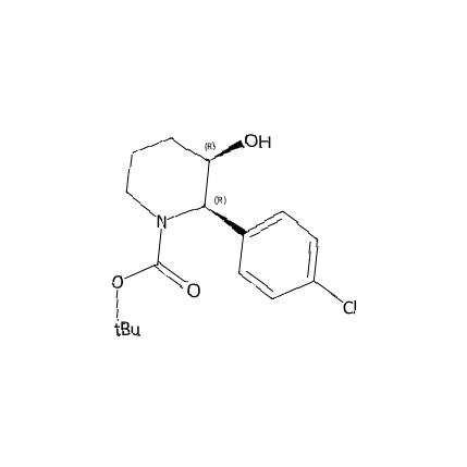 CC(C)(C)OC(=O)N1CCC[C@@H](O)[C@H]1c1ccc(Cl)cc1